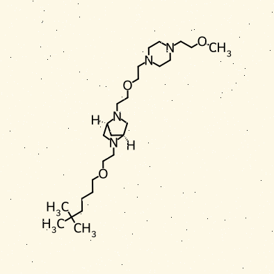 COCCN1CCN(CCOCCN2C[C@@H]3C[C@H]2CN3CCOCCCCC(C)(C)C)CC1